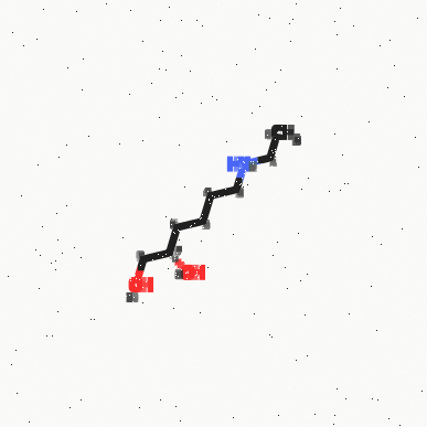 CCNCCCC[C@H](O)CO